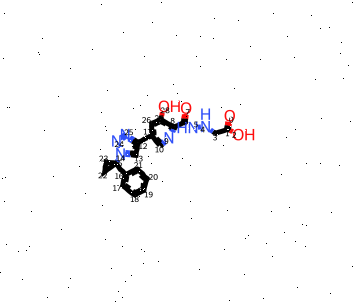 O=C(O)CNNC(=O)c1ncc(-c2cn(C3(c4ccccc4)CC3)nn2)cc1O